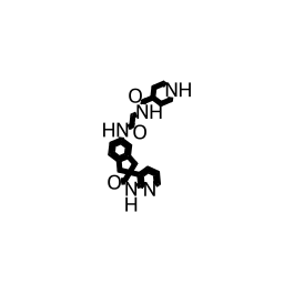 O=C(CNC(=O)C1CCNCC1)Nc1ccc2c(c1)CC1(C2)C(=O)Nc2ncccc21